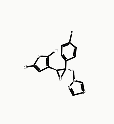 Fc1ccc([C@@]2(Cn3cncn3)O[C@H]2c2cc(Cl)sc2Cl)cc1